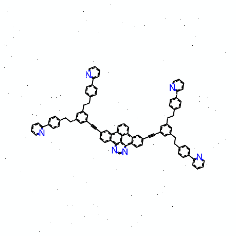 C(#Cc1ccc2c(c1)c1cccc3c4cc(C#Cc5cc(CCc6ccc(-c7ccccn7)cc6)cc(CCc6ccc(-c7ccccn7)cc6)c5)ccc4c4ncnc2c4c13)c1cc(CCc2ccc(-c3ccccn3)cc2)cc(CCc2ccc(-c3ccccn3)cc2)c1